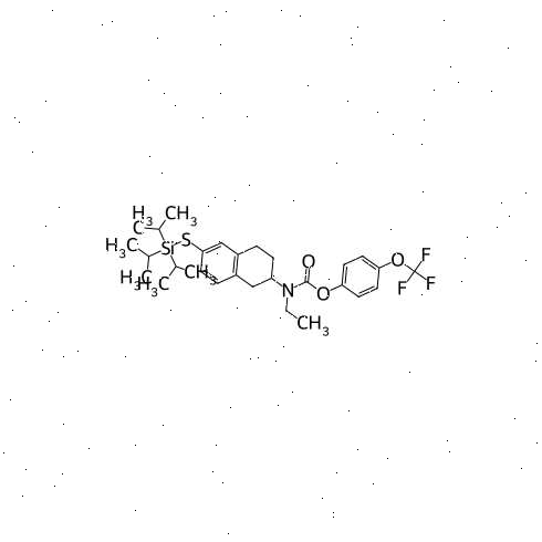 CCN(C(=O)Oc1ccc(OC(F)(F)F)cc1)C1CCc2cc(S[Si](C(C)C)(C(C)C)C(C)C)ccc2C1